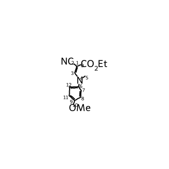 CCOC(=O)/C(C#N)=C\N(C)c1ccc(OC)cc1